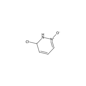 [O-][N+]1=CC=C[C](Cl)N1